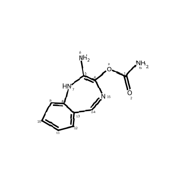 NC(=O)OC1=C(N)Nc2ccccc2C=N1